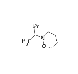 CC(C)[CH](C)[Al]1[CH2]CCC[O]1